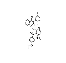 CC(C)Oc1ccc(C(=N)c2c(N)ncnc2NC(C)c2oc3ccccc3c(=O)c2C2=CCCC(F)=C2)cc1